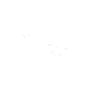 Nc1ncnc2c1c(Br)cn2[C@H]1CC[C@H](/C=C/C2CNC2)O1